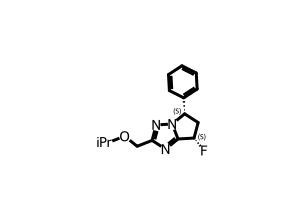 CC(C)OCc1nc2n(n1)[C@H](c1ccccc1)C[C@@H]2F